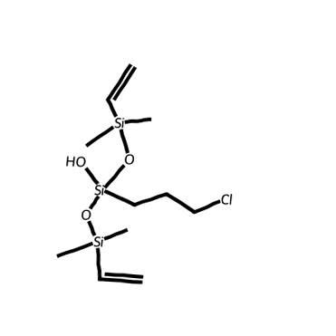 C=C[Si](C)(C)O[Si](O)(CCCCl)O[Si](C)(C)C=C